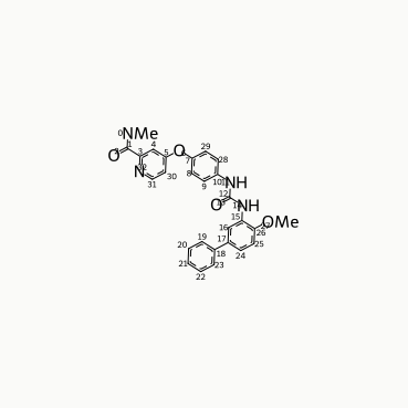 CNC(=O)c1cc(Oc2ccc(NC(=O)Nc3cc(-c4ccccc4)ccc3OC)cc2)ccn1